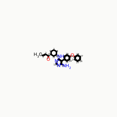 C/C=C/C(=O)[C@H]1CCC[C@H](Nc2ncnc(N)c2-c2ccc(Oc3ccccc3)cc2)C1